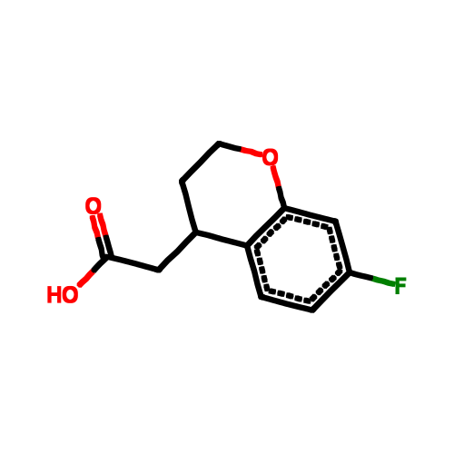 O=C(O)CC1CCOc2cc(F)ccc21